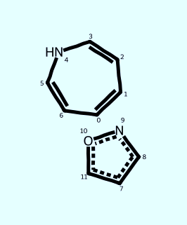 C1=CC=CNC=C1.c1cnoc1